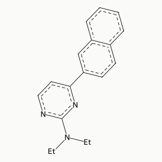 CCN(CC)c1nccc(-c2ccc3ccccc3c2)n1